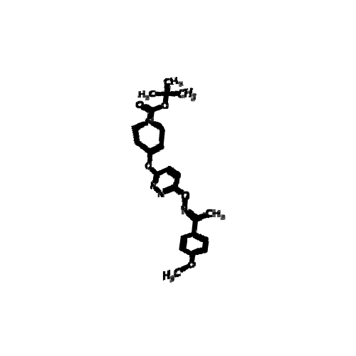 COc1ccc(C(C)=NOc2ccc(OC3CCN(C(=O)OC(C)(C)C)CC3)nn2)cc1